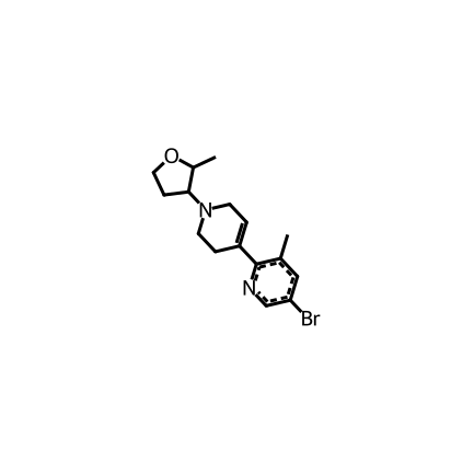 Cc1cc(Br)cnc1C1=CCN(C2CCOC2C)CC1